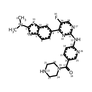 CN(C)c1nc2ccc(-c3nc(Nc4ccc(C(=O)N5CCNCC5)cn4)ncc3F)cc2s1